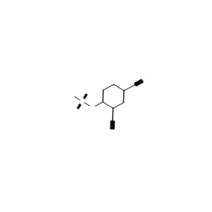 CS(=O)(=O)OC1CCC(C#N)CC1C#N